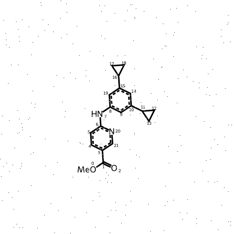 COC(=O)c1ccc(Nc2cc(C3CC3)cc(C3CC3)c2)nc1